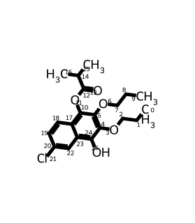 CCCOc1c(OCCC)c(OC(=O)C(C)C)c2ccc(Cl)cc2c1O